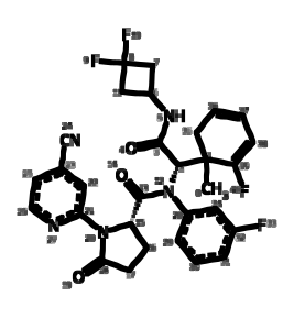 CC1([C@@H](C(=O)NC2CC(F)(F)C2)N(C(=O)[C@@H]2CCC(=O)N2c2cc(C#N)ccn2)c2cccc(F)c2)CC=CC=C1F